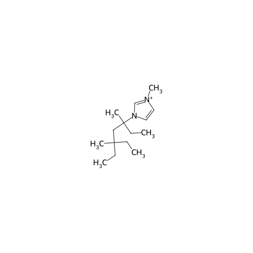 CCC(C)(CC)CC(C)(CC)n1cc[n+](C)c1